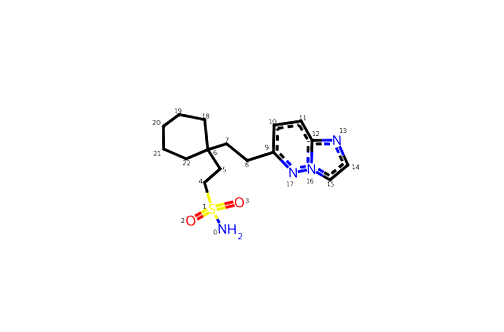 NS(=O)(=O)CCC1(CCc2ccc3nccn3n2)CCCCC1